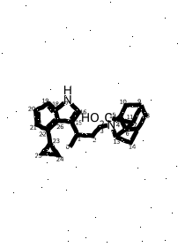 CC(CCN1C2CC3CC(C2)C(C(=O)O)C1C3)c1c[nH]c2cccc(C3CC3)c12